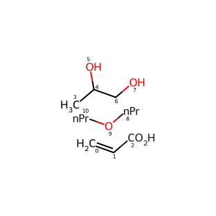 C=CC(=O)O.CC(O)CO.CCCOCCC